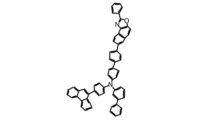 c1ccc(-c2cccc(N(c3ccc(-c4ccc(-c5ccc6c(ccc7oc(-c8ccccc8)nc76)c5)cc4)cc3)c3ccc(-c4cc5ccccc5c5ccccc45)cc3)c2)cc1